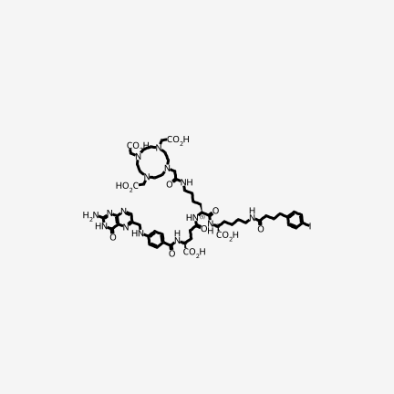 Nc1nc2ncc(CNc3ccc(C(=O)N[C@@H](CCC(=O)N[C@@H](CCCCNC(=O)CN4CCN(CC(=O)O)CCN(CC(=O)O)CCN(CC(=O)O)CC4)C(=O)N[C@@H](CCCCNC(=O)CCCc4ccc(I)cc4)C(=O)O)C(=O)O)cc3)nc2c(=O)[nH]1